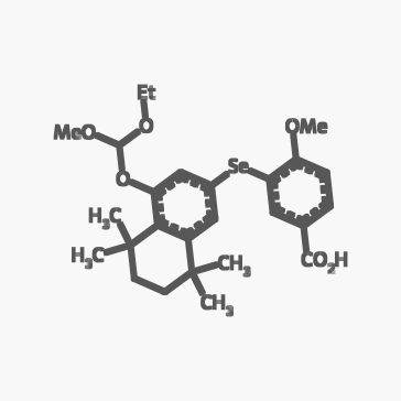 CCOC(OC)Oc1cc([Se]c2cc(C(=O)O)ccc2OC)cc2c1C(C)(C)CCC2(C)C